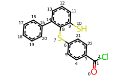 O=C(Cl)c1ccc(Sc2c(S)cccc2-c2ccccc2)cc1